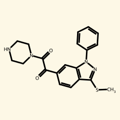 CSc1nn(-c2ccccc2)c2cc(C(=O)C(=O)N3CCNCC3)ccc12